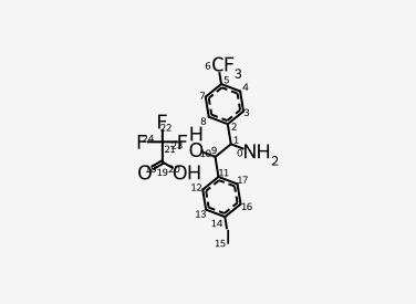 NC(c1ccc(C(F)(F)F)cc1)C(O)c1ccc(I)cc1.O=C(O)C(F)(F)F